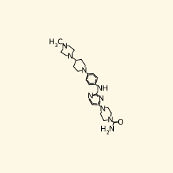 CN1CCN(C2CCN(c3ccc(Nc4nccc(N5CCN(C(N)=O)CC5)n4)cc3)CC2)CC1